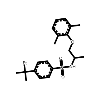 CCC(C)(C)c1ccc(S(=O)(=O)NC(C)COc2c(C)cccc2C)cc1